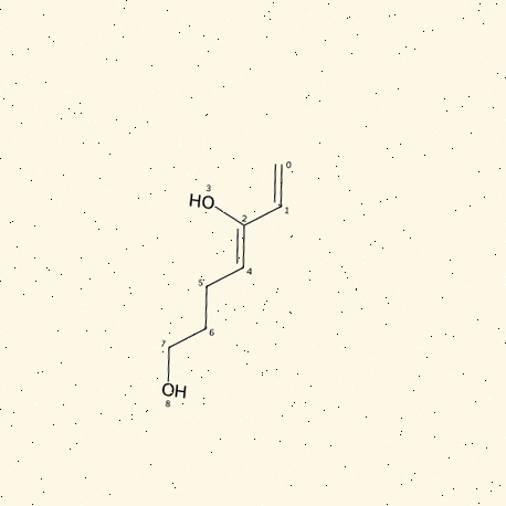 C=CC(O)=CCCCO